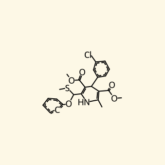 COC(=O)C1=C(C)NC(C(Oc2ccccc2)SC)=C(C(=O)OC)C1c1cccc(Cl)c1